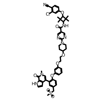 Cn1cc(-c2cc(CS(C)(=O)=O)ccc2Oc2cccc(OCCOC3CCN(c4ncc(C(=O)NC5C(C)(C)C(Oc6ccc(C#N)c(Cl)c6)C5(C)C)cn4)CC3)c2)c2cc[nH]c2c1=O